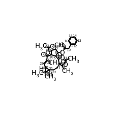 CC(=O)O[C@@H]1[C@H]2C(OC(=O)Cc3ccccc3)[C@@H](C)CC2(OC(C)=O)C(=O)/C(C)=C/[C@@H]2[C@H](CC[C@]13O[C@H]3C)C2(C)C